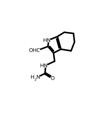 NC(=O)NCc1c(C=O)[nH]c2c1CCCC2